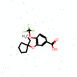 CCC1(Oc2cc(C(=O)O)ccc2OC(F)(F)F)CCCC1